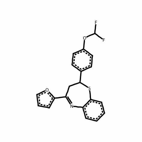 FC(F)Oc1ccc(C2CC(c3ccco3)=Nc3ccccc3S2)cc1